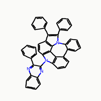 c1ccc(-c2nc3ccccc3nc2-n2c3cccc4c5ccccc5n5c(-c6ccccc6)c(-c6ccccc6)c6ccc2c(c43)c65)cc1